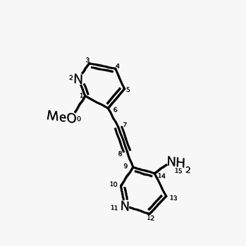 COc1ncccc1C#Cc1cnccc1N